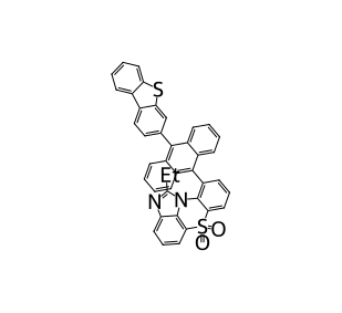 CCc1nc2cccc3c2n1-c1c(-c2c4ccccc4c(-c4ccc5c(c4)sc4ccccc45)c4ccccc24)cccc1S3(=O)=O